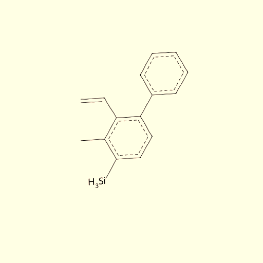 C=Cc1c(-c2ccccc2)ccc([SiH3])c1C